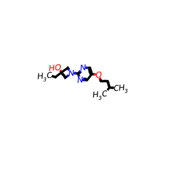 CCC1(O)CN(c2ncc(OCCC(C)C)cn2)C1